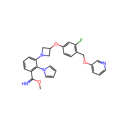 COC(=N)c1cccc(N2CC(Oc3ccc(COc4cccnc4)c(F)c3)C2)c1-n1cccc1